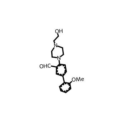 COc1ccccc1-c1ccc(N2CCN(CCO)CC2)c(C=O)c1